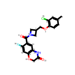 Cc1ccc(OCC2CN(C(=O)c3cc4c(cc3F)OCC(=O)N4)C2)c(Cl)c1